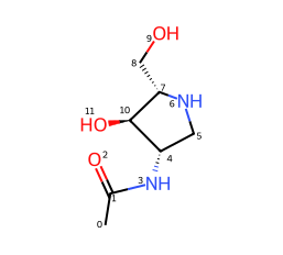 CC(=O)N[C@H]1CN[C@@H](CO)[C@@H]1O